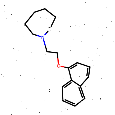 c1ccc2c(OCCN3CCCCCC3)cccc2c1